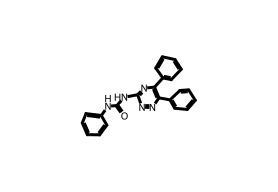 O=C(Nc1ccccc1)Nc1nnc(-c2ccccc2)c(-c2ccccc2)n1